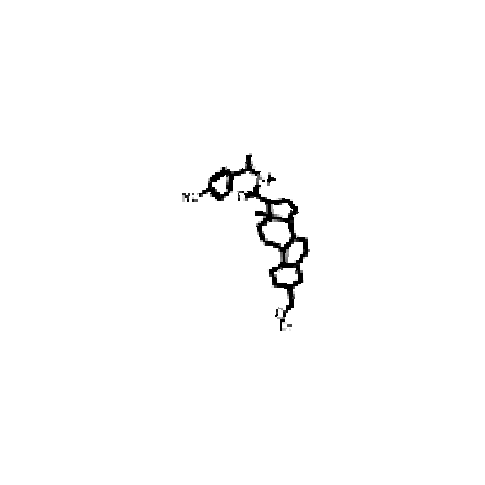 CCOCC1CCC2C(CCC3C2CCC2(C)C(C(=O)NC(C)c4ccc(C#N)cc4)CCC32)C1